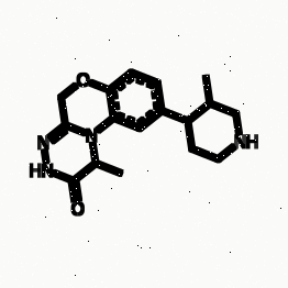 CC1CNCCC1c1ccc2c(c1)N1C(=NNC(=O)C1C)CO2